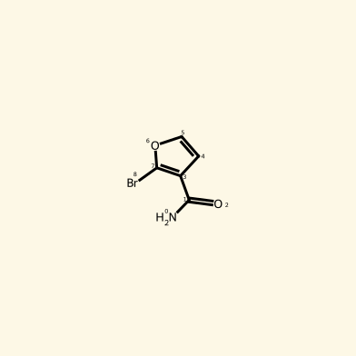 NC(=O)c1ccoc1Br